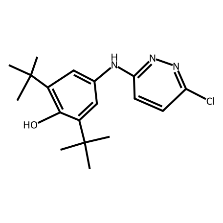 CC(C)(C)c1cc(Nc2ccc(Cl)nn2)cc(C(C)(C)C)c1O